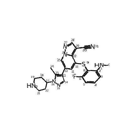 CNc1cccc(F)c1Sc1cc(-c2cnn(C3CCNCC3)c2C)cn2ncc(C#N)c12